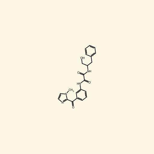 Cn1ccnc1C(=O)c1cccc(NC(=O)C(=O)NC(CO)Cc2ccccc2)c1